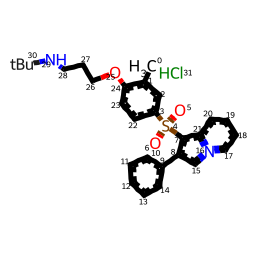 Cc1cc(S(=O)(=O)c2c(-c3ccccc3)cn3ccccc23)ccc1OCCCNC(C)(C)C.Cl